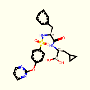 O=C(N[C@@H](CC1CC1)B(O)O)[C@H](Cc1ccccc1)NS(=O)(=O)c1ccc(Oc2ncccn2)cc1